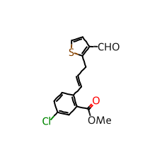 COC(=O)c1cc(Cl)ccc1C=CCc1sccc1C=O